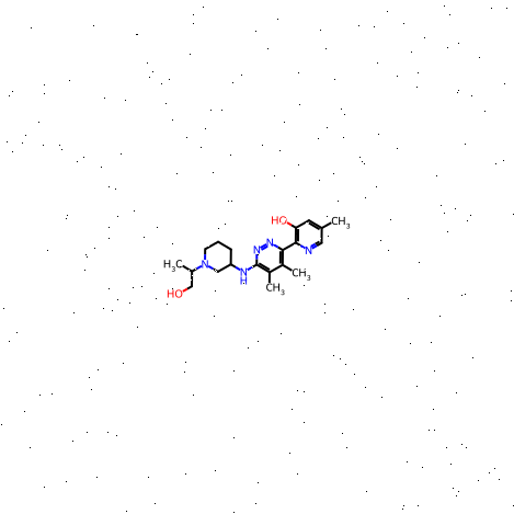 Cc1cnc(-c2nnc(NC3CCCN(C(C)CO)C3)c(C)c2C)c(O)c1